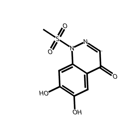 CS(=O)(=O)n1n[c]c(=O)c2cc(O)c(O)cc21